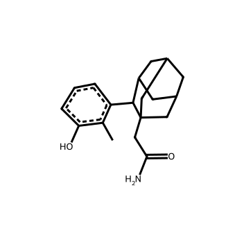 Cc1c(O)cccc1C1C2CC3CC(C2)CC1(CC(N)=O)C3